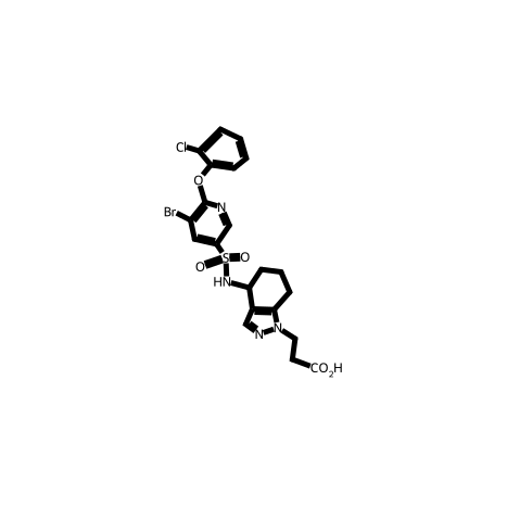 O=C(O)CCn1ncc2c1CCCC2NS(=O)(=O)c1cnc(Oc2ccccc2Cl)c(Br)c1